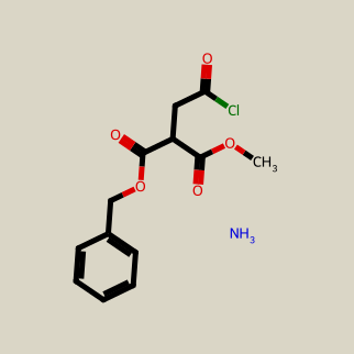 COC(=O)C(CC(=O)Cl)C(=O)OCc1ccccc1.N